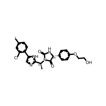 C[C@@H](c1ncc(-c2ccc(I)cc2Cl)[nH]1)N1C(=O)N[C@H](c2ccc(OCCO)cc2)C1=O